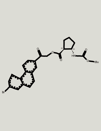 CC(C)(C)OC(=O)N[C@H]1CCC[C@@H]1C(=O)OCC(=O)c1ccc2c(ccc3cc(Br)ccc32)c1